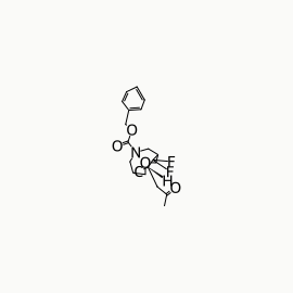 CC(=O)C[C@@H]1CC2COCC(CN(C(=O)OCc3ccccc3)C2)C1(F)F